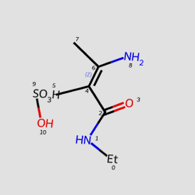 CCNC(=O)/C(C)=C(/C)N.O=S(=O)(O)O